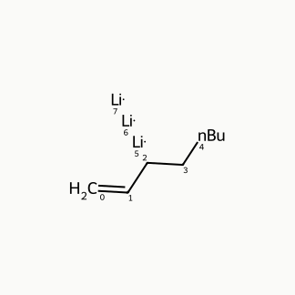 C=CCCCCCC.[Li].[Li].[Li]